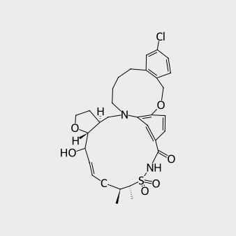 C[C@@H]1[C@@H](C)C/C=C/C(O)[C@@H]2OCC[C@H]2CN2CCCCc3cc(Cl)ccc3COc3ccc(cc32)C(=O)NS1(=O)=O